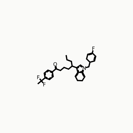 CCCC(CCCC(=O)c1ccc(C(C)(F)F)cc1)c1cn(CC2C=CC(F)=CC2)c2c1=CCCC=2